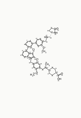 COc1cc(-c2cccc(-c3cccc4c3cnn4Cc3cc(OC)c(CN(C)C4CCC(C(=O)O)CC4)cc3Cl)c2Cl)ccc1CNC[C@@H]1CCC(=O)N1